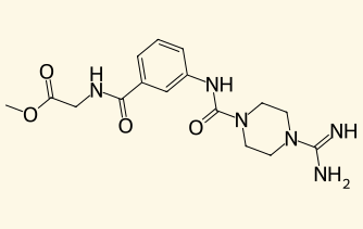 COC(=O)CNC(=O)c1cccc(NC(=O)N2CCN(C(=N)N)CC2)c1